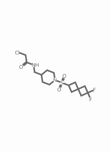 O=C(CCl)NCC1CCN(S(=O)(=O)C2CC3(C2)CC(F)(F)C3)CC1